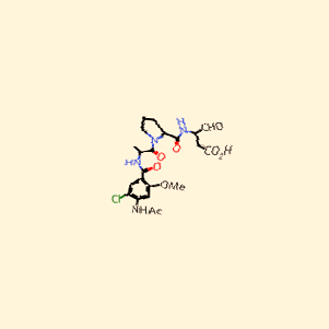 COc1cc(NC(C)=O)c(Cl)cc1C(=O)NC(C)C(=O)N1CCCC1C(=O)NC(C=O)CC(=O)O